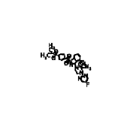 CC(C)S(=O)(=O)c1ccc(S(=O)(=O)n2nc(N3CCN(c4ncc(F)cn4)CC3(C)C)c3c(Cl)cccc32)cc1